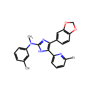 CCc1cccc(-c2[nH]c(N(C)c3cccc(C#N)c3)nc2-c2ccc3c(c2)OCO3)n1